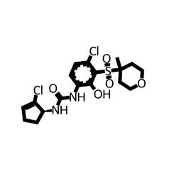 CC1(S(=O)(=O)c2c(Cl)ccc(NC(=O)N[C@H]3CCC=C3Cl)c2O)CCOCC1